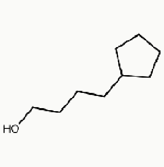 OCCCCC1CCCC1